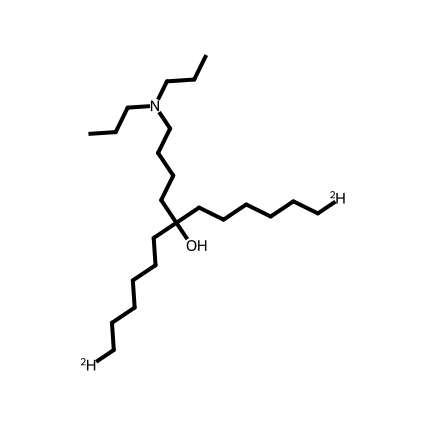 [2H]CCCCCCC(O)(CCCCCC[2H])CCCCN(CCC)CCC